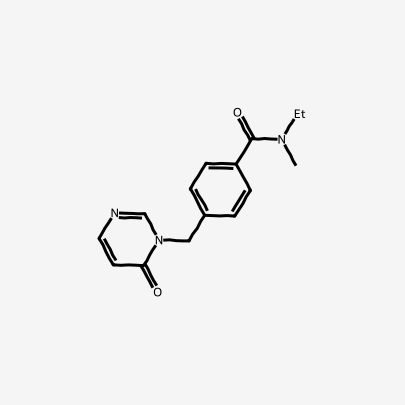 CCN(C)C(=O)c1ccc(Cn2cnccc2=O)cc1